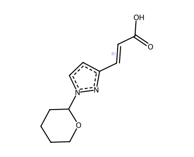 O=C(O)/C=C/c1ccn(C2CCCCO2)n1